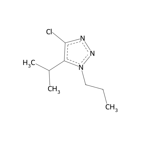 CCCn1nnc(Cl)c1C(C)C